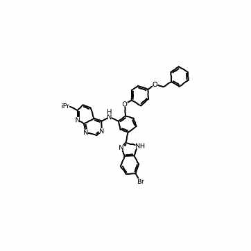 CC(C)c1ccc2c(Nc3cc(-c4nc5ccc(Br)cc5[nH]4)ccc3Oc3ccc(OCc4ccccc4)cc3)ncnc2n1